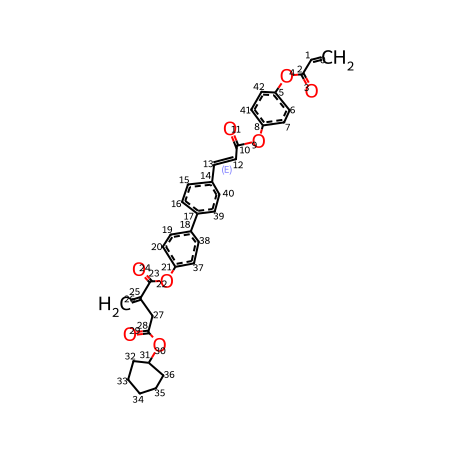 C=CC(=O)Oc1ccc(OC(=O)/C=C/c2ccc(-c3ccc(OC(=O)C(=C)CC(=O)OC4CCCCC4)cc3)cc2)cc1